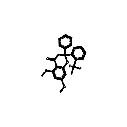 COc1cc(OC)c2c(c1)OC(c1ccccc1)(c1ccccc1C(F)(F)F)CC2=O